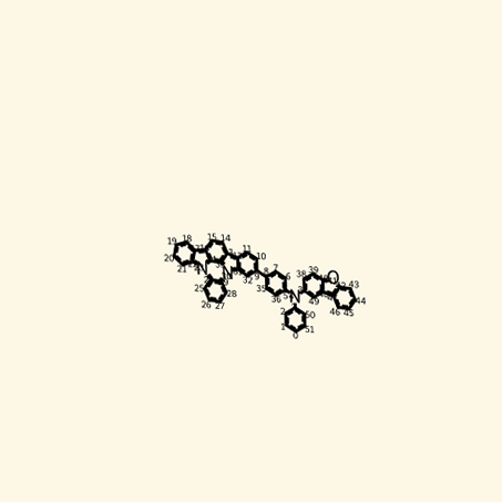 c1ccc(N(c2ccc(-c3ccc4c5ccc6c7ccccc7n7c8ccccc8n(c4c3)c5c67)cc2)c2ccc3oc4ccccc4c3c2)cc1